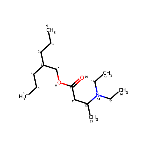 CCCC(CCC)COC(=O)CC(C)N(CC)CC